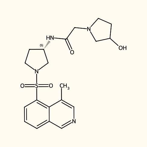 Cc1cncc2cccc(S(=O)(=O)N3CC[C@H](NC(=O)CN4CCC(O)C4)C3)c12